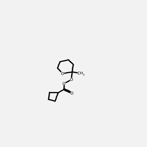 CC1(OOC(=O)C2CCC2)CCCCO1